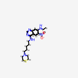 CCNc1cc2ncnc(NCCCCCN3CCSCC3)c2cc1[N+](=O)[O-]